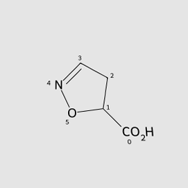 O=C(O)C1CC=NO1